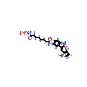 O=C(CCCCCCC(=O)Nc1ccc2c(c1)C(=Cc1ccc[nH]1)C(=O)N2)NO